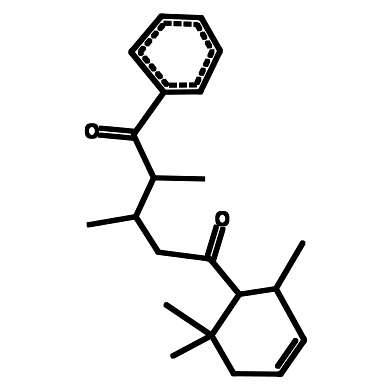 CC1C=CCC(C)(C)C1C(=O)CC(C)C(C)C(=O)c1ccccc1